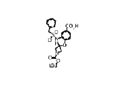 CC(C)(C)OC(=O)N1CC(C)(Oc2ccc(C(=O)O)cc2NS(=O)(=O)Cc2ccccc2)C1